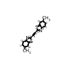 Cc1ccc2nc(C#Cc3nc4ccc(C)cc4s3)sc2c1